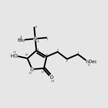 CCCCCCCCCCCCCC1=C([Si](C)(C)C(C)(C)C)C(O)OC1=O